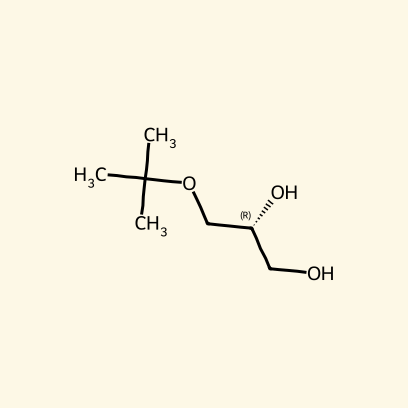 CC(C)(C)OC[C@H](O)CO